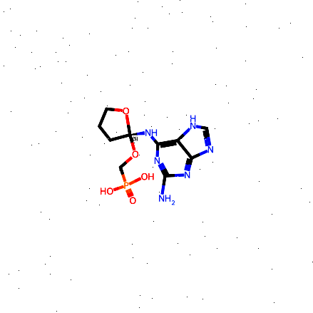 Nc1nc(N[C@@]2(OCP(=O)(O)O)CCCO2)c2[nH]cnc2n1